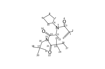 C=C(C)C(=O)N(C1CCCC1)C(C)C(=O)N(CC(C)(C)C)C(=O)C(C)(C)CC